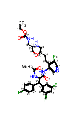 COC(=O)NC(C(=O)Nc1cncc(F)c1CC[C@@H]1CN[C@H](CNC(=O)OCC(F)(F)F)CO1)C(c1ccc(F)cc1)c1cc(F)cc(F)c1